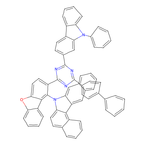 c1ccc(-c2ccc(-c3nc(-c4ccc5c6ccccc6n(-c6ccccc6)c5c4)nc(-c4ccc5oc6ccccc6c5c4-n4c5cc6ccccc6cc5c5c6ccccc6ccc54)n3)cc2)cc1